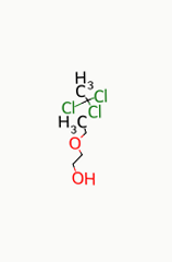 CC(Cl)(Cl)Cl.CCOCCO